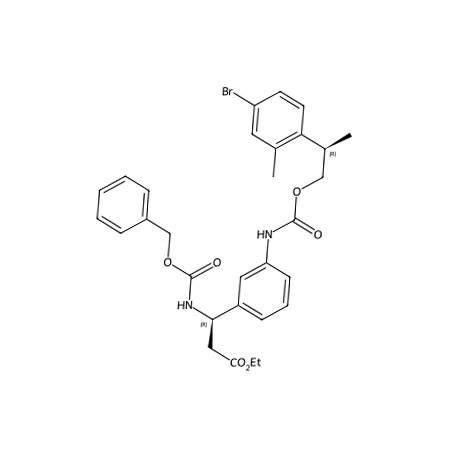 CCOC(=O)C[C@@H](NC(=O)OCc1ccccc1)c1cccc(NC(=O)OC[C@H](C)c2ccc(Br)cc2C)c1